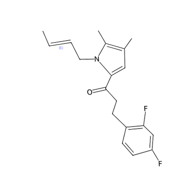 C/C=C/Cn1c(C(=O)CCc2ccc(F)cc2F)cc(C)c1C